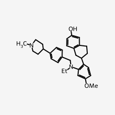 CCN(Cc1ccc(C2CCN(C)CC2)cc1)c1cc(OC)ccc1C1CCc2cc(O)ccc2C1